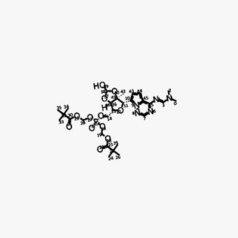 CN(C)/C=N/c1ncnn2c([C@@H]3O[C@H](COP(=O)(OCOC(=O)C(C)(C)C)OCOC(=O)C(C)(C)C)[C@H]4OC(O)O[C@]43C)ccc12